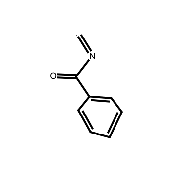 [CH]=NC(=O)c1ccccc1